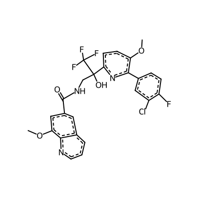 COc1ccc(C(O)(CNC(=O)c2cc(OC)c3ncccc3c2)C(F)(F)F)nc1-c1ccc(F)c(Cl)c1